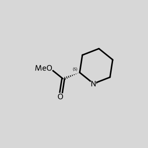 COC(=O)[C@@H]1CCCC[N]1